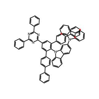 c1ccc(-c2ccc(-c3cc(-c4nc(-c5ccccc5)nc(-c5ccccc5)n4)cc(-c4ccc(-c5ccccc5)cc4)c3-n3c4ccccc4c4ccc(-n5c6ccccc6c6ccccc65)cc43)cc2)cc1